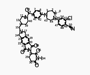 C[C@H]1CCN(c2ccc(C(=O)N3CCC(CN4Cc5cc6c(cc5C4)C(=O)N(C4CCC(=O)N(I)C4=O)C6=O)CC3)cc2)CCN1c1ccc(C#N)c(Cl)c1